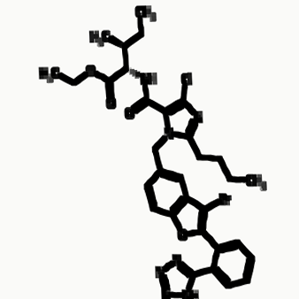 CCCCc1nc(Cl)c(C(=O)N[C@H](C(=O)OCC)[C@@H](C)CC)n1Cc1ccc2oc(-c3ccccc3-c3nnn[nH]3)c(Br)c2c1